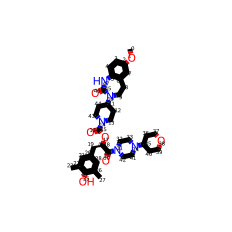 COc1ccc2c(c1)CCN(C1CCN(C(=O)O[C@H](Cc3cc(C)c(O)c(C)c3)C(=O)N3CCN(C4CCOCC4)CC3)CC1)C(=O)N2